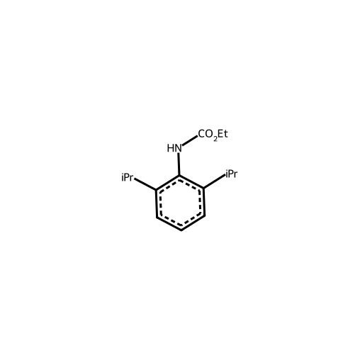 CCOC(=O)Nc1c(C(C)C)cccc1C(C)C